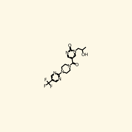 CC(O)Cn1cc(C(=O)N2CCN(c3ncc(C(F)(F)F)cn3)CC2)cnc1=O